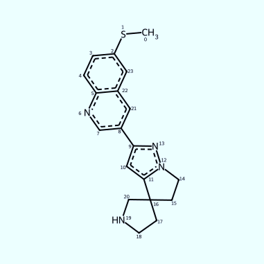 CSc1ccc2ncc(-c3cc4n(n3)CCC43CCNC3)cc2c1